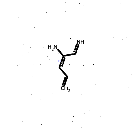 C=C/C=C(/N)C=N